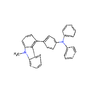 Cn1c2ccccc2c2c(-c3ccc(N(c4ccccc4)c4ccccc4)cc3)cccc21